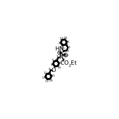 CCOC(=O)CN(Cc1ccc(OCc2ccccc2)cc1)S(=O)(=O)C1CCc2ccccc2N1